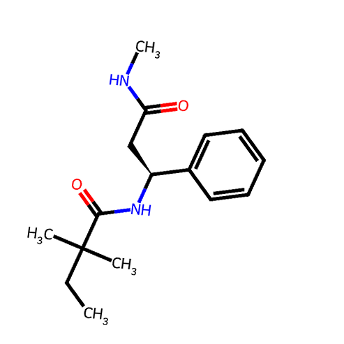 CCC(C)(C)C(=O)N[C@@H](CC(=O)NC)c1ccccc1